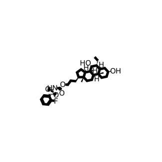 CC[C@H]1[C@@H](O)[C@@H]2[C@H](CC[C@]3(C)[C@@H](CCCOC(=O)NS(=O)(=O)c4ccccc4F)CC[C@@H]23)[C@@]2(C)CC[C@@H](O)C[C@@H]12